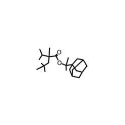 CC(C)C(C)(CC(C)(C)C)C(=O)OC(C)(C)C12CC3CC(CC(C3)C1)C2